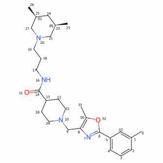 Cc1cccc(-c2nc(CN3CCC(C(=O)NCCCN4C[C@H](C)C[C@H](C)C4)CC3)c(C)o2)c1